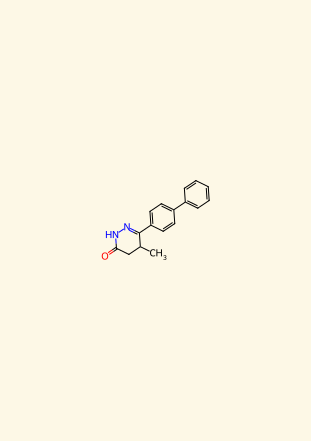 CC1CC(=O)NN=C1c1ccc(-c2ccccc2)cc1